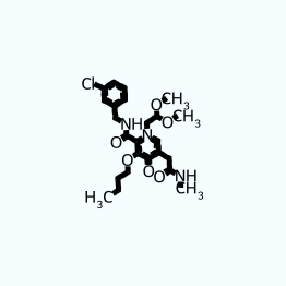 CCCCOc1c(C(=O)NCc2cccc(Cl)c2)n(CC(OC)OC)cc(CC(=O)NC)c1=O